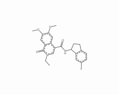 CCn1cc(C(=O)NC2CCc3ccc(F)cc32)c2cc(OC)c(OC)cc2c1=O